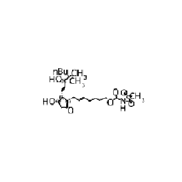 CCCCC(C)(C)[C@H](O)C=C[C@H]1[C@H](O)CC(=O)[C@@H]1CC=CCCCCOC(=O)NS(C)(=O)=O